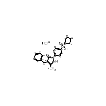 Cc1[nH]n(-c2ccc(S(=O)(=O)N3CCCC3)cn2)c(=O)c1Cc1cccnc1.Cl